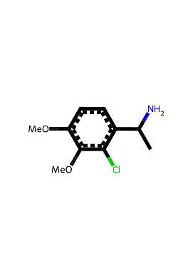 COc1ccc(C(C)N)c(Cl)c1OC